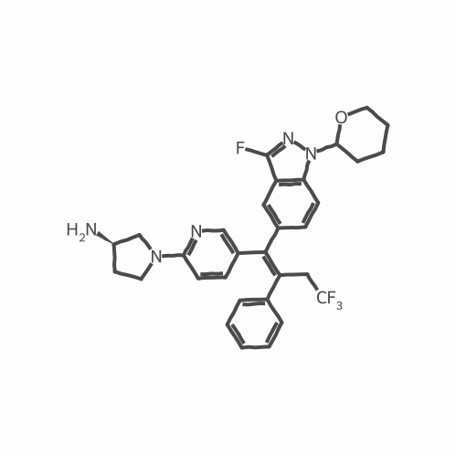 N[C@@H]1CCN(c2ccc(/C(=C(/CC(F)(F)F)c3ccccc3)c3ccc4c(c3)c(F)nn4C3CCCCO3)cn2)C1